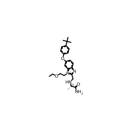 CCOCCn1c(CN[C@@H](C)C(N)=O)nc2ccc(Oc3ccc(C(C)(C)C)cc3)cc21